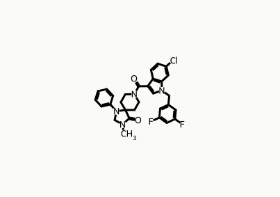 CN1CN(c2ccccc2)C2(CCN(C(=O)c3cn(Cc4cc(F)cc(F)c4)c4cc(Cl)ccc34)CC2)C1=O